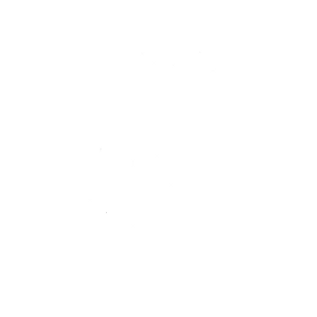 C=C(C)C/C=C\CC(/C(=C\CCC(C)CC(CC)CCCC(C)(C)CCC)CCC)=C(/C)C1CC1